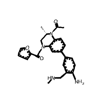 CNCc1cc(-c2ccc3c(c2)N(C(=O)c2ccco2)C[C@H](C)N3C(C)=O)ccc1N